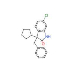 O=C1Nc2cc(Cl)ccc2C1(Cc1ccccc1)C1CCCC1